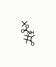 CC1C(=O)C(C)(C)C1(C)NC(=O)OC(C)(C)C